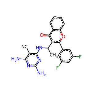 CC(Nc1nc(N)nc(N)c1C#N)c1c(-c2cc(F)cc(F)c2)oc2ccccc2c1=O